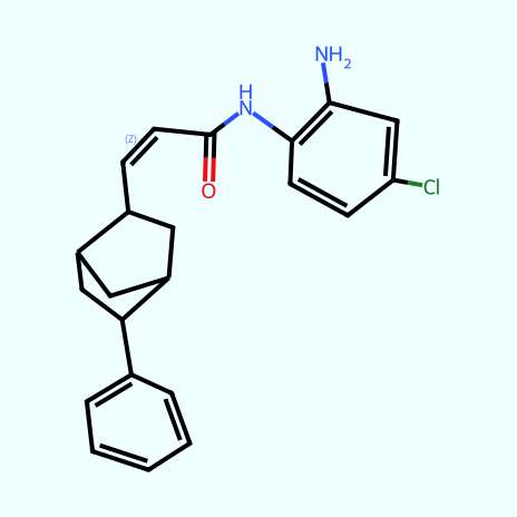 Nc1cc(Cl)ccc1NC(=O)/C=C\C1CC2CC1CC2c1ccccc1